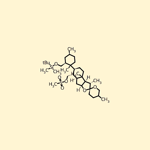 CC1CC[C@@]2(OC1)O[C@H]1C[C@H]3[C@H](COS(C)(=O)=O)[C@@H]([C@@]4(C)CC[C@H](C)C[C@@H]4CO[Si](C)(C)C(C)(C)C)CC[C@]3(C)[C@H]1[C@@H]2C